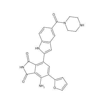 Nc1c(-c2ccco2)cc(-c2cc3cc(C(=O)N4CCNCC4)ccc3[nH]2)c2c1C(=O)NC2=O